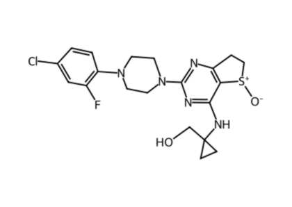 [O-][S+]1CCc2nc(N3CCN(c4ccc(Cl)cc4F)CC3)nc(NC3(CO)CC3)c21